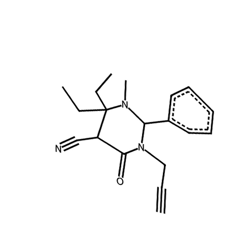 C#CCN1C(=O)C(C#N)C(CC)(CC)N(C)C1c1ccccc1